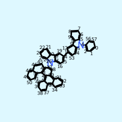 c1ccc(-n2c3ccccc3c3cc(-c4ccc5c(c4)c4ccccc4n5-c4cc5c6ccccc6c6ccccc6c5c5c4ccc4ccccc45)ccc32)cc1